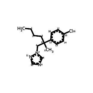 CCCCC(C)(Cn1cncn1)c1ccc(Cl)cc1